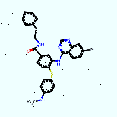 CC(C)c1ccc2c(Nc3cc(C(=O)NCCc4ccccc4)ccc3Sc3ccc(NC(=O)O)cc3)ncnc2c1